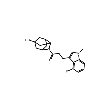 Cn1cc(CCC(=O)N2C3CC4CC(O)(C3)CC42)c2c(F)cccc21